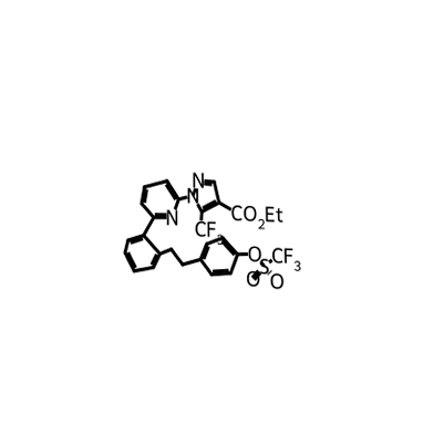 CCOC(=O)c1cnn(-c2cccc(-c3ccccc3CCc3ccc(OS(=O)(=O)C(F)(F)F)cc3)n2)c1C(F)(F)F